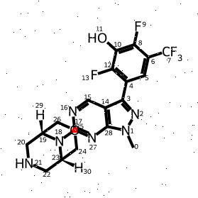 Cn1nc(-c2cc(C(F)(F)F)c(F)c(O)c2F)c2cnc(N3[C@@H]4CNC[C@H]3COC4)nc21